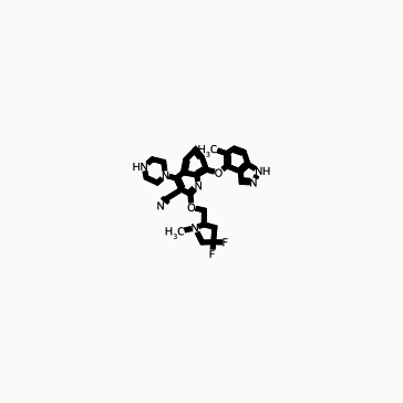 Cc1ccc2[nH]ncc2c1Oc1cccc2c(N3CCNCC3)c(C#N)c(OCC3CC(F)(F)CN3C)nc12